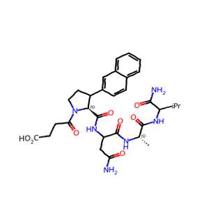 CC(C)C(NC(=O)[C@H](C)NC(=O)C(CC(N)=O)NC(=O)[C@@H]1C(c2ccc3ccccc3c2)CCN1C(=O)CCC(=O)O)C(N)=O